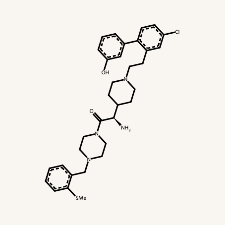 CSc1ccccc1CN1CCN(C(=O)[C@H](N)C2CCN(CCc3cc(Cl)ccc3-c3cccc(O)c3)CC2)CC1